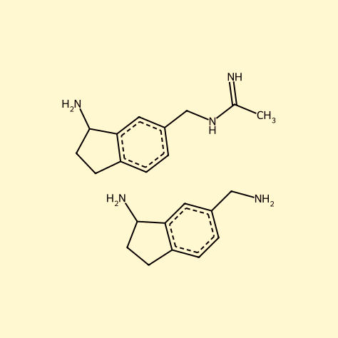 CC(=N)NCc1ccc2c(c1)C(N)CC2.NCc1ccc2c(c1)C(N)CC2